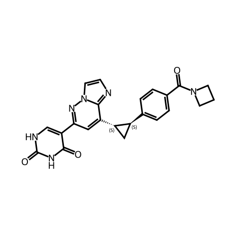 O=C(c1ccc([C@H]2C[C@@H]2c2cc(-c3c[nH]c(=O)[nH]c3=O)nn3ccnc23)cc1)N1CCC1